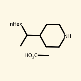 CC(=O)O.CCCCCCC(C)C1CCNCC1